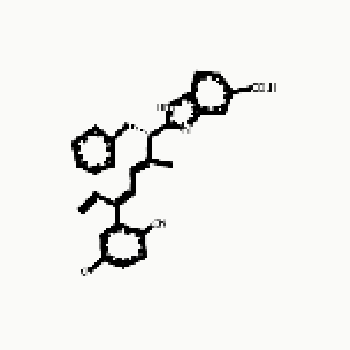 C=C/C(=C\C=C(/C)[C@H](Cc1ccccc1)c1nc2cc(C(=O)O)ccc2[nH]1)c1cc(Cl)ccc1C#N